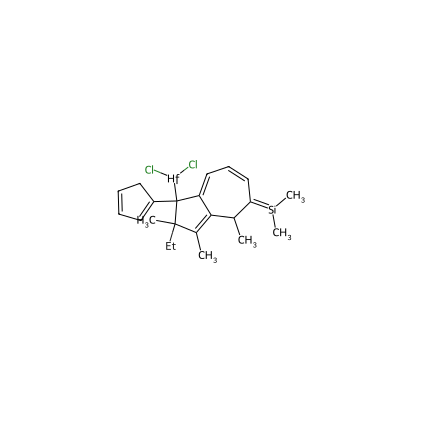 CCC1(C)C(C)=C2C(=CC=CC(=[Si](C)C)C2C)[C]1(C1=CC=CC1)[Hf]([Cl])[Cl]